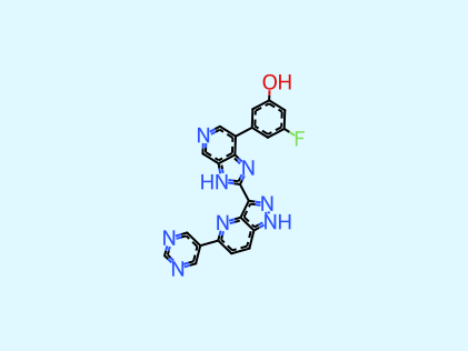 Oc1cc(F)cc(-c2cncc3[nH]c(-c4n[nH]c5ccc(-c6cncnc6)nc45)nc23)c1